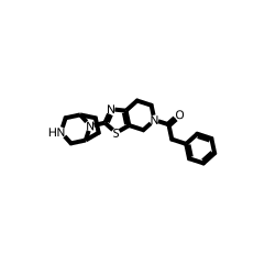 O=C(Cc1ccccc1)N1CCc2nc(N3C4CCC3CNC4)sc2C1